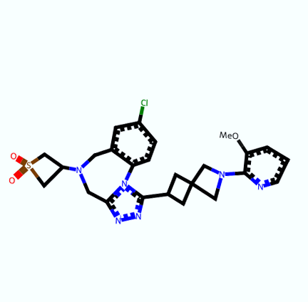 COc1cccnc1N1CC2(CC(c3nnc4n3-c3ccc(Cl)cc3CN(C3CS(=O)(=O)C3)C4)C2)C1